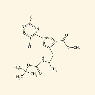 COC(=O)c1cc(-c2nc(Cl)ncc2Cl)cn1CC(C)NC(=O)OC(C)(C)C